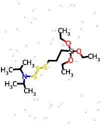 CCO[Si](CCCSSSN(C(C)C)C(C)C)(OCC)OCC